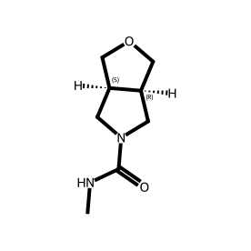 CNC(=O)N1C[C@H]2COC[C@H]2C1